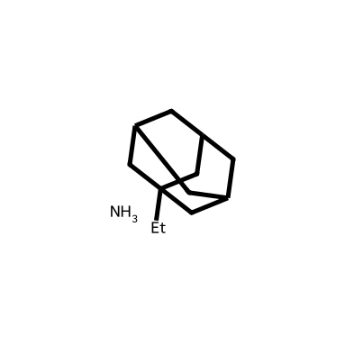 CCC12CC3CC(CC(C3)C1)C2.N